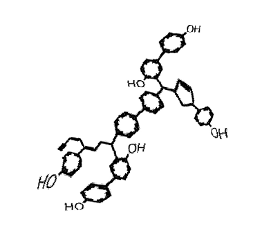 C#C/C=C\C(=C/CC(c1ccc(-c2ccc(C(c3cc(-c4ccc(O)cc4)ccc3O)C3C=CC(c4ccc(O)cc4)=C3)cc2)cc1)c1cc(-c2ccc(O)cc2)ccc1O)c1ccc(O)cc1